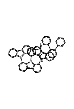 O=C1c2cccc(-n3c4c(-n5c6ccccc6c6ccccc65)cccc4c4cccc(-n5c6ccccc6c6ccccc65)c43)c2C(=O)N1c1cccc(-c2ccccc2)c1-c1ccccc1